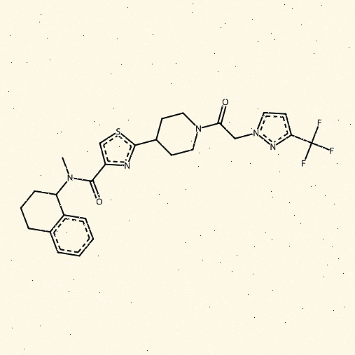 CN(C(=O)c1csc(C2CCN(C(=O)Cn3ccc(C(F)(F)F)n3)CC2)n1)C1CCCc2ccccc21